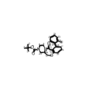 CC(C)(C)OC(=O)N1CCN2C(=O)c3c(cccc3-c3ccccc3F)OCC2C1